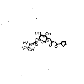 C[C@H]([C@@H]1O[C@H]1C[C@@H]1OC[C@H](CC(=O)CC(=O)c2cccs2)[C@@H](O)[C@H]1O)[C@H](C)O